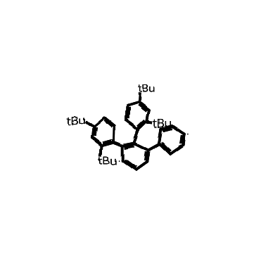 CC(C)(C)c1ccc(-c2[c]ccc(-c3cc[c]cc3)c2-c2ccc(C(C)(C)C)cc2C(C)(C)C)c(C(C)(C)C)c1